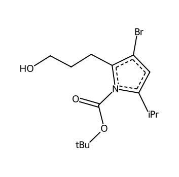 CC(C)c1cc(Br)c(CCCO)n1C(=O)OC(C)(C)C